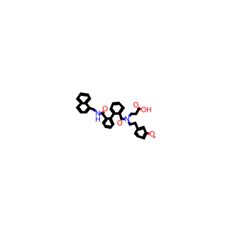 COc1cccc(CCN(CCC(=O)O)C(=O)c2ccccc2-c2ccccc2C(=O)NCc2cccc3ccccc23)c1